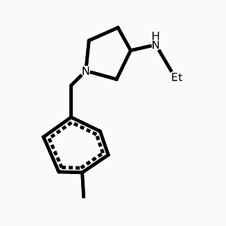 CCNC1CCN(Cc2ccc(C)cc2)C1